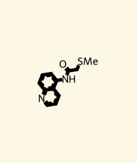 CSCC(=O)Nc1cccc2ncccc12